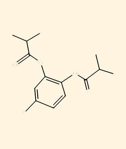 CC(C)C(=O)Oc1ccc(F)cc1OC(=O)C(C)C